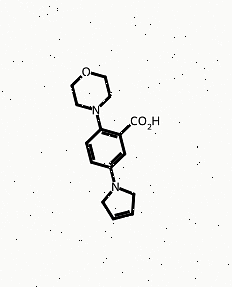 O=C(O)c1cc(N2CC=CC2)ccc1N1CCOCC1